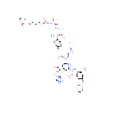 CC(C)[C@H](NC(=O)CCCCCN1C(=O)C=CC1=O)C(=O)N[C@@H](C)C(=O)Nc1ccc(COC(=O)N(CCN=[N+]=[N-])c2cc(C3(Cc4nncn4C)COC3)cc(N3Cc4c(cc(CN5CCC[C@@H](C)C5)cc4C(F)(F)F)C3=O)n2)cc1